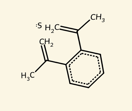 C=C(C)c1ccccc1C(=C)C.[S]